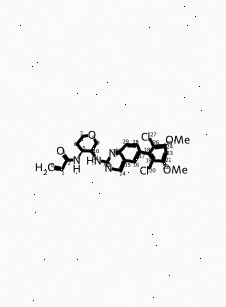 C=CC(=O)N[C@H]1CCOCC1Nc1ncc2cc(-c3c(Cl)c(OC)cc(OC)c3Cl)ccc2n1